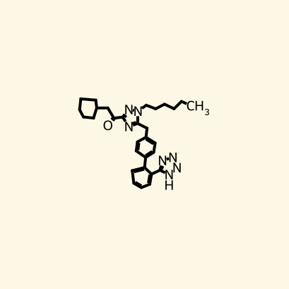 CCCCCCn1nc(C(=O)CC2CCCCC2)nc1Cc1ccc(-c2ccccc2-c2nnn[nH]2)cc1